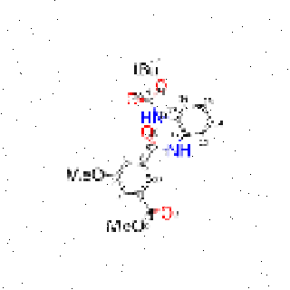 COC(=O)c1cc(OC)cc(C(=O)Nc2ccccc2NC(=O)OC(C)(C)C)c1